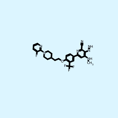 CNc1cc(-c2ccc(OCCC3CCN(c4ncccc4F)CC3)c(C(F)(F)F)c2)nc(C#N)c1N=N